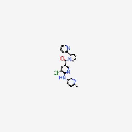 Cc1ccc(Nc2ncc(C(=O)N3CCCC3c3ccccn3)cc2Cl)cn1